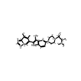 Cc1c(-c2[nH]c3ccc(N4CCN(C(=O)[C@@H](C)N(C)C)CC4)nc3c2C(C)C)cn2ncnc2c1C